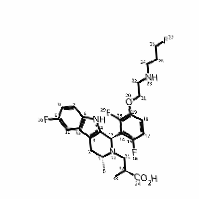 C[C@@H]1Cc2c([nH]c3ccc(F)cc23)[C@@H](c2c(F)ccc(OCCNCCCF)c2F)N1C[C@H](C)C(=O)O